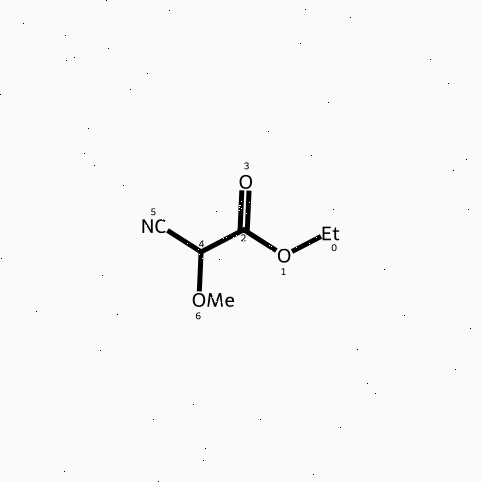 CCOC(=O)C(C#N)OC